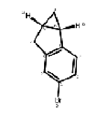 Brc1ccc2c(c1)C[C@@H]1C[C@H]21